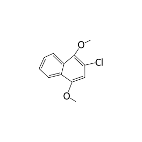 COc1cc(Cl)c(OC)c2ccccc12